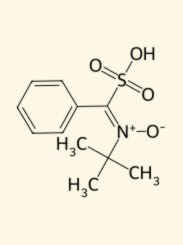 CC(C)(C)[N+]([O-])=C(c1ccccc1)S(=O)(=O)O